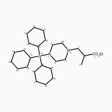 CCOC(=O)C(C)CN1CCN([Si](C2CCCCC2)(C2CCCCC2)C2CCCCC2)CC1